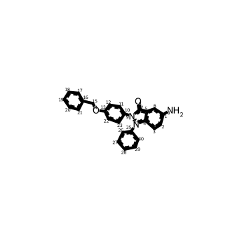 Nc1ccc2c(c1)c(=O)n(-c1ccc(OCc3ccccc3)cc1)n2-c1ccccc1